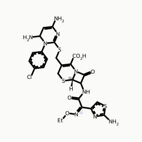 CCO/N=C(\C(=O)NC1C(=O)N2C(C(=O)O)=C(CSC3=NC(N)=CC(N)N3c3ccc(Cl)cc3)CS[C@@H]12)c1csc(N)n1